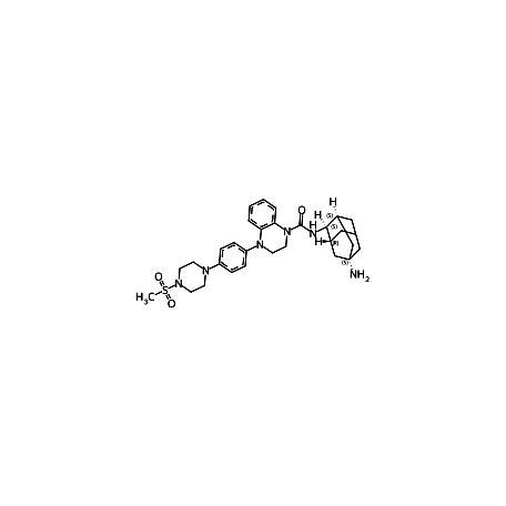 CS(=O)(=O)N1CCN(c2ccc(N3CCN(C(=O)N[C@@H]4[C@@H]5CC6C[C@H]4C[C@@](N)(C6)C5)c4ccccc43)cc2)CC1